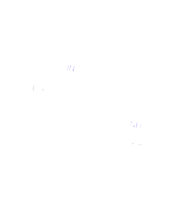 CNC(=O)Cc1c[nH]c(C)c1